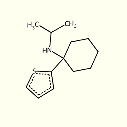 CC(C)NC1(c2cccs2)CCCCC1